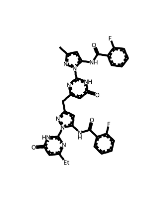 CCc1cc(=O)[nH]c(-n2nc(Cc3cc(=O)[nH]c(-n4nc(C)cc4NC(=O)c4ccccc4F)n3)cc2NC(=O)c2ccccc2F)n1